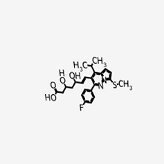 CSc1ccc2c(C(C)C)c(/C=C/C(O)CC(O)CC(=O)O)c(-c3ccc(F)cc3)nn12